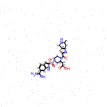 CC1Cc2nc(C(=O)N3CCN(S(=O)(=O)c4cc5ccc(C(=N)N)cc5[nH]4)CC3CC(=O)O)sc2CN1